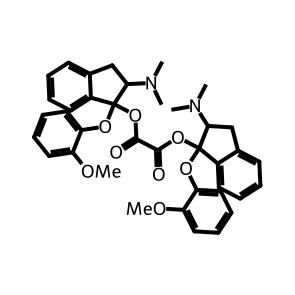 COc1ccccc1OC1(OC(=O)C(=O)OC2(Oc3ccccc3OC)c3ccccc3CC2N(C)C)c2ccccc2CC1N(C)C